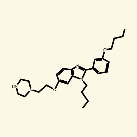 CCCCOc1cccc(-c2nc3ccc(OCCN4CCNCC4)cc3n2CCCC)c1